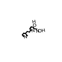 ON=Cc1nc(CCc2cccnc2)ccc1O